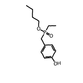 CCCCOP(=O)(CC)Cc1ccc(O)cc1